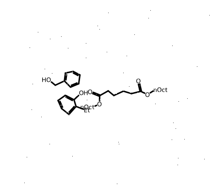 CCCCCCCCOC(=O)CCCCC(=O)OCCCCCCCC.CCc1ccccc1O.OCc1ccccc1